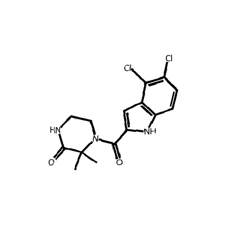 CC1(C)C(=O)NCCN1C(=O)c1cc2c(Cl)c(Cl)ccc2[nH]1